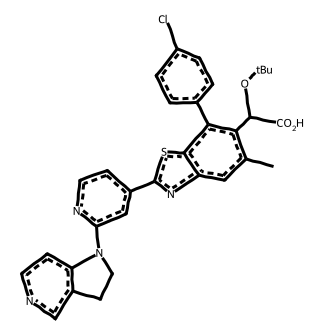 Cc1cc2nc(-c3ccnc(N4CCc5cnccc54)c3)sc2c(-c2ccc(Cl)cc2)c1C(OC(C)(C)C)C(=O)O